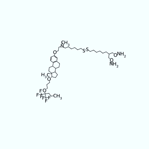 CCCC(OCCCOC1CCC2C3CCc4cc(OCCN(C)CCCCCCSSCCCCCCC(CON)CON)ccc4C3CCC12C)(C(F)(F)F)C(F)(F)F